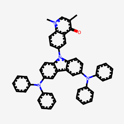 Cc1cn(C)c2ccc(-n3c4ccc(N(c5ccccc5)c5ccccc5)cc4c4cc(N(c5ccccc5)c5ccccc5)ccc43)cc2c1=O